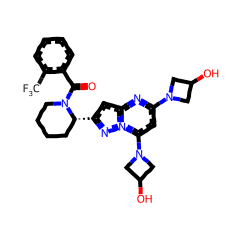 O=C(c1ccccc1C(F)(F)F)N1CCCC[C@H]1c1cc2nc(N3CC(O)C3)cc(N3CC(O)C3)n2n1